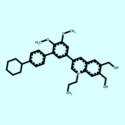 CCC[n+]1cc(-c2cc(OC)c(OC)c(-c3ccc(C4CCCCC4)cc3)c2)cc2cc(CO)c(CO)cc21